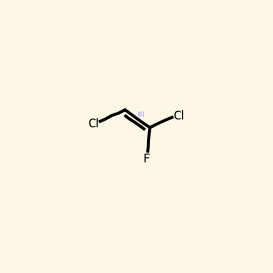 F/C(Cl)=C\Cl